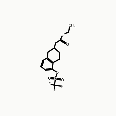 CCOC(=O)CC1CCc2c(cccc2OS(=O)(=O)C(F)(F)F)C1